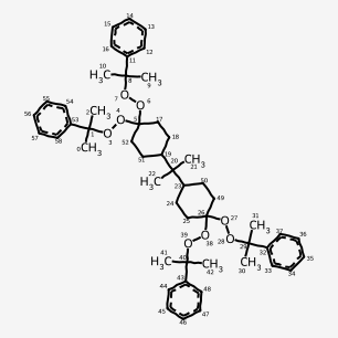 CC(C)(OOC1(OOC(C)(C)c2ccccc2)CCC(C(C)(C)C2CCC(OOC(C)(C)c3ccccc3)(OOC(C)(C)c3ccccc3)CC2)CC1)c1ccccc1